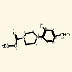 CC(C)(C)OC(=O)N1CCN(c2ccc(C=O)cc2F)CC1